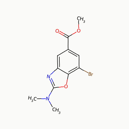 COC(=O)c1cc(Br)c2oc(N(C)C)nc2c1